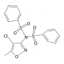 Cc1onc(N(S(=O)(=O)c2ccccc2)S(=O)(=O)c2ccccc2)c1Cl